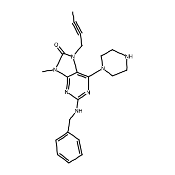 CC#CCn1c(=O)n(C)c2nc(NCc3ccccc3)nc(N3CCNCC3)c21